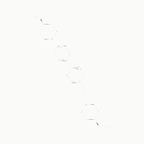 CCCCC[C@H]1CC[C@H](CCc2cnc(-c3ccc([C@H]4CC[C@H](CCC)CC4)cc3)nc2)CC1